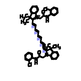 CC1(C)C(/C=C/C=C/C=C/C=C/C=C2/N(CC(=O)Nc3ccccc3Cl)c3ccccc3C2(C)C)=[N+](CC(=O)Nc2ccccc2Cl)c2ccccc21